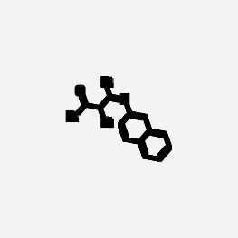 CCC(=O)C(CC)/C(CC)=N\c1ccc2ccccc2c1